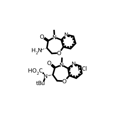 CN1C(=O)[C@@H](N(C(=O)O)C(C)(C)C)COc2cccnc21.CN1C(=O)[C@@H](N)COc2cccnc21.Cl